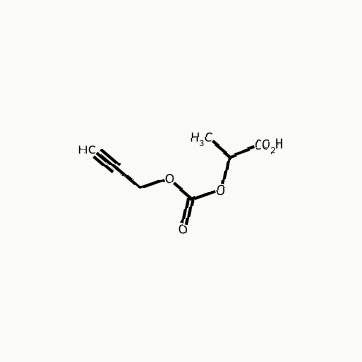 C#CCOC(=O)OC(C)C(=O)O